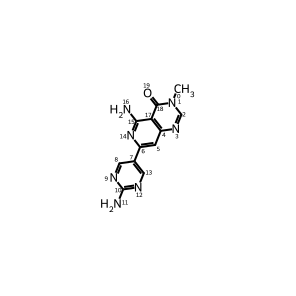 Cn1cnc2cc(-c3cnc(N)nc3)nc(N)c2c1=O